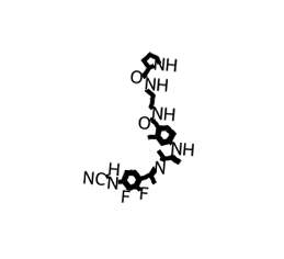 C=C(Nc1ccc(C(=O)NCCCNC(=O)C2CCCN2)c(C)c1)/C(C)=N/C=C(\C)c1ccc(NCC#N)c(F)c1F